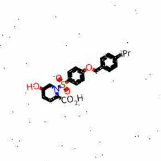 CC(C)c1ccc(COc2ccc(S(=O)(=O)N3CC(O)CCC3C(=O)O)cc2)cc1